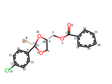 O=C(OC[C@@H]1CO[C@@](Br)(c2ccc(Cl)cc2)O1)c1ccccc1